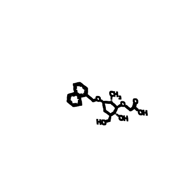 C[C@@H]1[C@@H](OCC(=O)O)[C@H](O)[C@@H](CO)C[C@H]1OCc1cccc2ccccc12